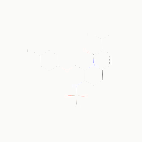 CC1CCC(OCC2C(NS(C)(=O)=O)CCc3ccc(C(C)C)c(=O)n32)CC1